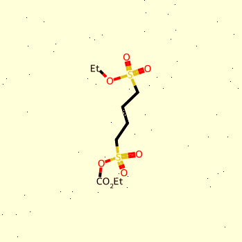 CCOC(=O)OS(=O)(=O)CCCCS(=O)(=O)OCC